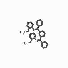 CCc1ccccc1N=C(c1ccccc1)c1cccc(C(=Nc2ccccc2CC)c2ccccc2)n1